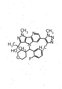 Cc1nnn(C)c1-c1cnc2c3c(c(C(C)(C)O)nn3C)n(C(c3ccccc3F)C3CCOCC3)c2c1